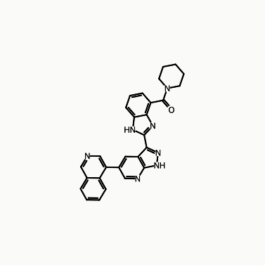 O=C(c1cccc2[nH]c(-c3n[nH]c4ncc(-c5cncc6ccccc56)cc34)nc12)N1CCCCC1